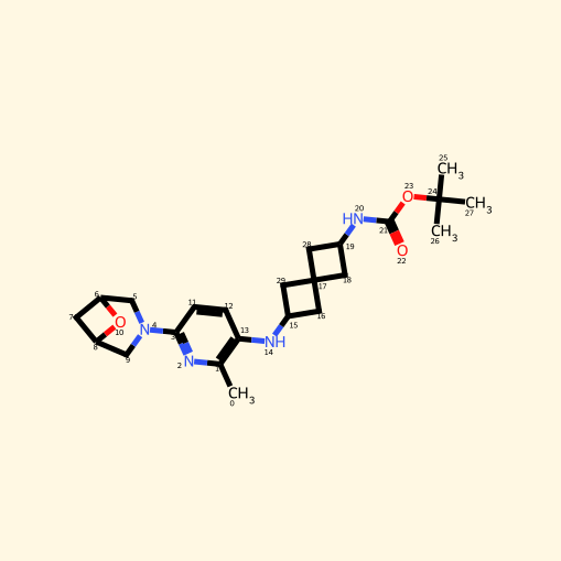 Cc1nc(N2CC3CC(C2)O3)ccc1NC1CC2(CC(NC(=O)OC(C)(C)C)C2)C1